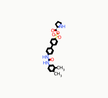 Cc1ccc(NC(=O)Nc2ccc(-c3ccc(S(=O)(=O)OC(=O)[C@@H]4CCCN4)cc3)cc2)cc1C